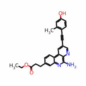 CCOC(=O)CCc1ccc2c(c1)nc(N)c1ncc(C#Cc3ccc(O)cc3C)cc12